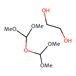 COC(OC)OC(OC)OC.OCCO